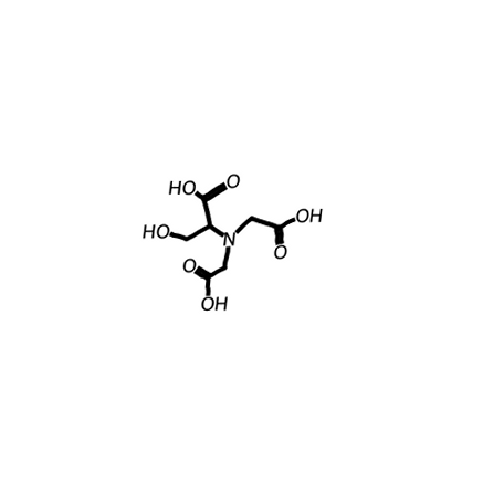 O=C(O)CN(CC(=O)O)C(CO)C(=O)O